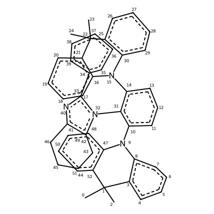 CC1(C)c2ccccc2N(c2cccc(N3c4ccccc4C(C)(C)c4ccccc43)c2-n2c(-c3ccccc3)nc3c2CCCC3)c2ccccc21